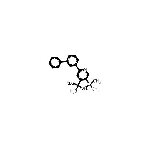 BC(B)(c1cc(-c2cccc(-c3ccccc3)c2)ncc1S(C)(C)C)C(C)(C)C